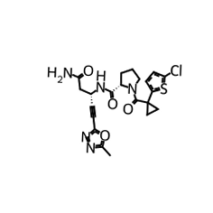 Cc1nnc(C#C[C@H](CC(N)=O)NC(=O)[C@@H]2CCCN2C(=O)C2(c3ccc(Cl)s3)CC2)o1